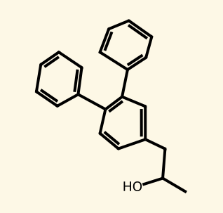 CC(O)Cc1ccc(-c2ccccc2)c(-c2ccccc2)c1